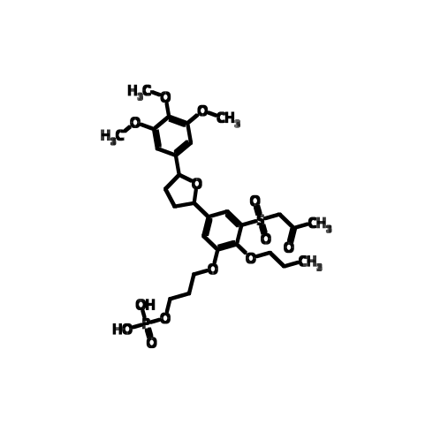 CCCOc1c(OCCCOP(=O)(O)O)cc(C2CCC(c3cc(OC)c(OC)c(OC)c3)O2)cc1S(=O)(=O)CC(C)=O